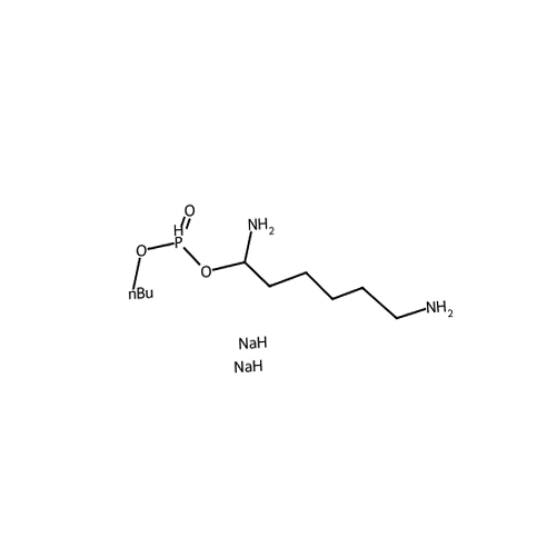 CCCCO[PH](=O)OC(N)CCCCCN.[NaH].[NaH]